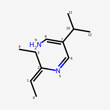 C\C=C(CC)/N=C\C(=C/N)C(C)C